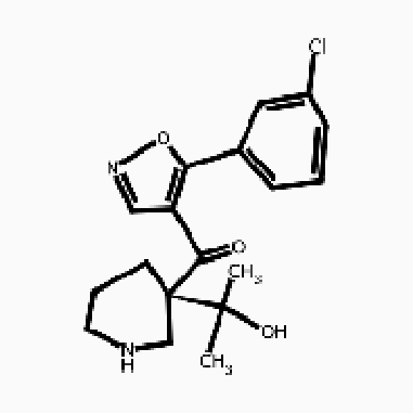 CC(C)(O)[C@]1(C(=O)c2cnoc2-c2cccc(Cl)c2)CCCNC1